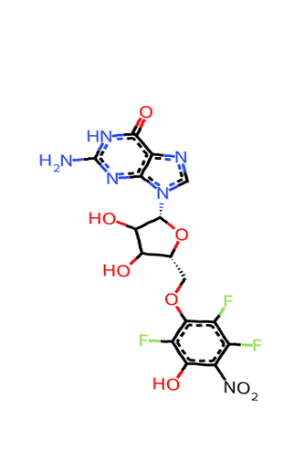 Nc1nc2c(ncn2[C@@H]2O[C@H](COc3c(F)c(O)c([N+](=O)[O-])c(F)c3F)C(O)C2O)c(=O)[nH]1